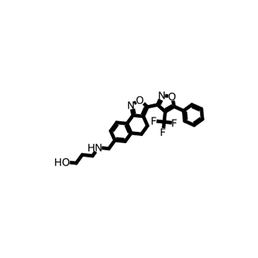 OCCCNCc1ccc2c(c1)CCc1c-2noc1-c1noc(-c2ccccc2)c1C(F)(F)F